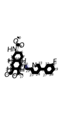 COC(=O)N[C@@H]1CC[C@@H]2[C@@H](C1)C[C@H]1C(=O)O[C@H](C)[C@H]1[C@H]2/C=C/c1ccc(-c2cccc(F)c2)cn1